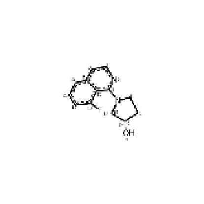 O[C@H]1CCN(c2nc[c]c3cccc(F)c23)C1